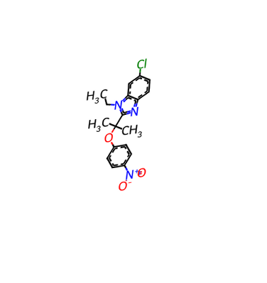 CCn1c(C(C)(C)Oc2ccc([N+](=O)[O-])cc2)nc2ccc(Cl)cc21